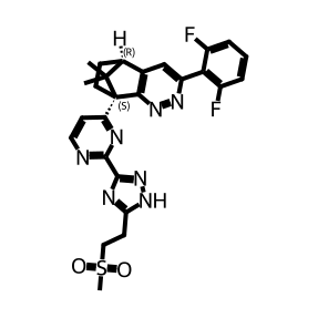 CC1(C)[C@H]2CC[C@]1(c1ccnc(-c3n[nH]c(CCS(C)(=O)=O)n3)n1)c1nnc(-c3c(F)cccc3F)cc12